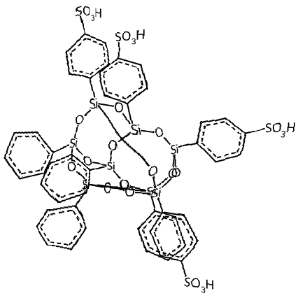 O=S(=O)(O)c1ccc([Si]23O[Si]4(c5ccccc5)O[Si]5(c6ccccc6)O[Si]6(c7ccccc7)O[Si](c7ccccc7)(O4)O[Si](c4ccc(S(=O)(=O)O)cc4)(O2)O[Si](c2ccc(S(=O)(=O)O)cc2)(O6)O[Si](c2ccc(S(=O)(=O)O)cc2)(O5)O3)cc1